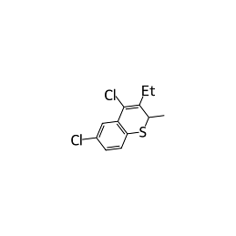 CCC1=C(Cl)c2cc(Cl)ccc2SC1C